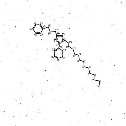 CCCCCCCCCCCCCCn1cc(CCCc2ccccc2)nc1-c1ccccc1